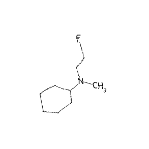 CN(CCF)C1CCCCC1